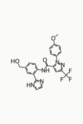 COc1ccc(-n2nc(C(F)(F)F)cc2C(=O)Nc2ccc(CO)cc2-c2ncc[nH]2)cc1